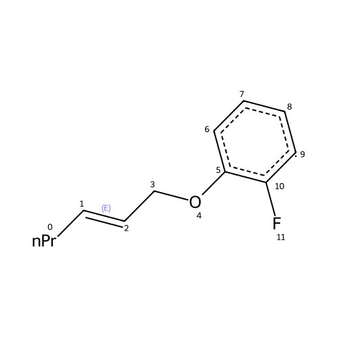 CCC/C=C/COc1ccc[c]c1F